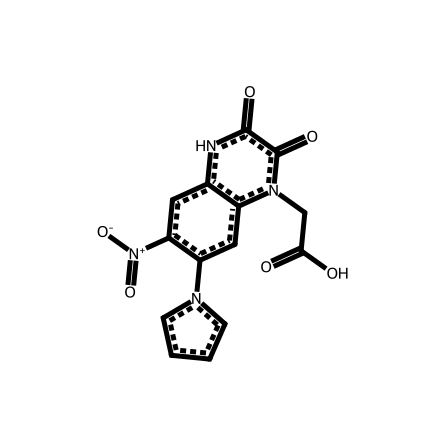 O=C(O)Cn1c(=O)c(=O)[nH]c2cc([N+](=O)[O-])c(-n3cccc3)cc21